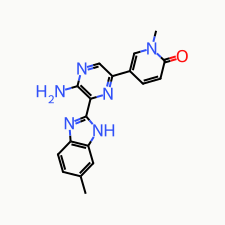 Cc1ccc2nc(-c3nc(-c4ccc(=O)n(C)c4)cnc3N)[nH]c2c1